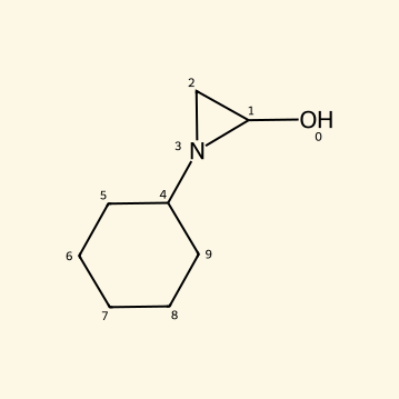 OC1CN1C1CCCCC1